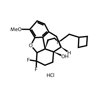 COc1ccc2c3c1OC1C(F)(F)CC[C@@]4(O)[C@@H](C2)N(CC2CCC2)CC[C@]314.Cl